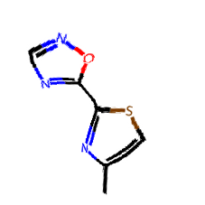 Cc1csc(-c2ncno2)n1